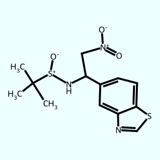 CC(C)(C)[S+]([O-])NC(C[N+](=O)[O-])c1ccc2scnc2c1